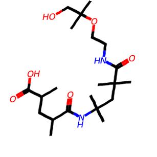 CC(CC(C)C(=O)NC(C)(C)CC(C)(C)C(=O)NCCOC(C)(C)CO)C(=O)O